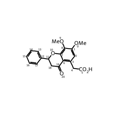 COc1cc(CC(=O)O)c2c(c1OC)OC(c1ccccc1)CC2=O